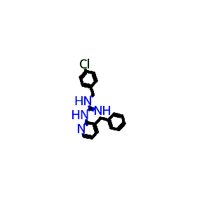 N=C(NCc1ccc(Cl)cc1)Nc1ncccc1Cc1ccccc1